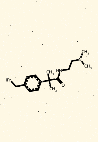 CC(C)Cc1ccc(C(C)(C)C(=O)NCCN(C)C)cc1